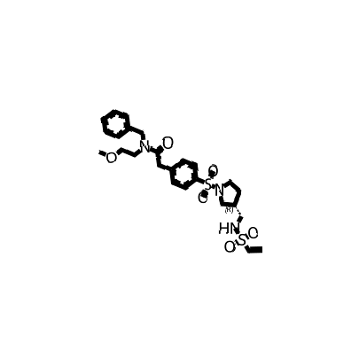 C=CS(=O)(=O)NC[C@H]1CCN(S(=O)(=O)c2ccc(CC(=O)N(CCOC)Cc3ccccc3)cc2)C1